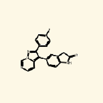 O=C1Cc2cc(-c3c(-c4ccc(F)cc4)nn4cnccc34)ccc2N1